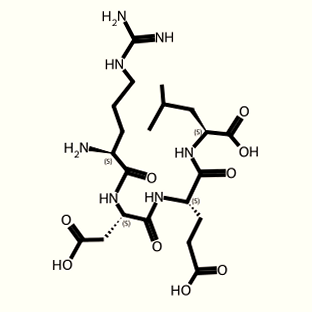 CC(C)C[C@H](NC(=O)[C@H](CCC(=O)O)NC(=O)[C@H](CC(=O)O)NC(=O)[C@@H](N)CCCNC(=N)N)C(=O)O